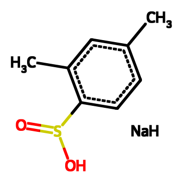 Cc1ccc(S(=O)O)c(C)c1.[NaH]